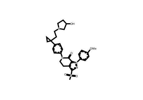 COc1ccc(-n2nc(S(C)(=O)=O)c3c2C(=O)N(c2ccc(C4(CCN5CCC(O)C5)CC4)cc2)CC3)cc1